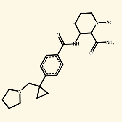 CC(=O)N1CC[CH]C(NC(=O)c2ccc(C3(CN4CCCC4)CC3)cc2)C1C(N)=O